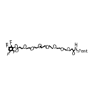 CCCCCNC(=O)CCOCCOCCOCCOCCOCCOCCOCCC(=O)Oc1c(F)c(F)cc(F)c1F